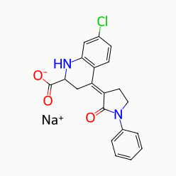 O=C([O-])C1CC(=C2CCN(c3ccccc3)C2=O)c2ccc(Cl)cc2N1.[Na+]